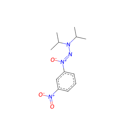 CC(C)N(/N=[N+](\[O-])c1cccc([N+](=O)[O-])c1)C(C)C